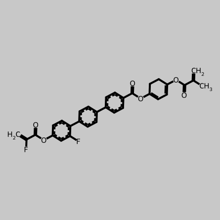 C=C(C)C(=O)OC1=CC=C(OC(=O)c2ccc(-c3ccc(-c4ccc(OC(=O)C(=C)F)cc4F)cc3)cc2)CC1